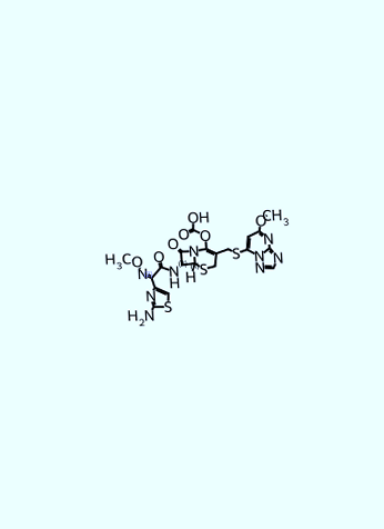 CO/N=C(\C(=O)N[C@@H]1C(=O)N2C(OC(=O)O)=C(CSc3cc(OC)nc4ncnn34)CS[C@H]12)c1csc(N)n1